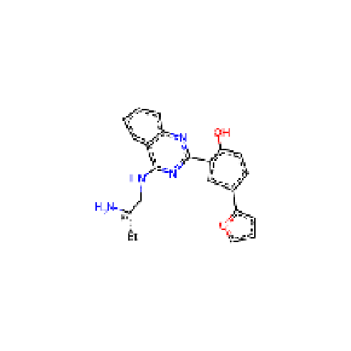 CC[C@H](N)CNc1nc(-c2cc(-c3ccco3)ccc2O)nc2ccccc12